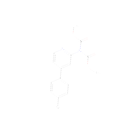 CC(C)(C)OC(=O)N(C(=O)OC(C)(C)C)c1cc(-c2ccc([N+](=O)[O-])cc2)ccn1